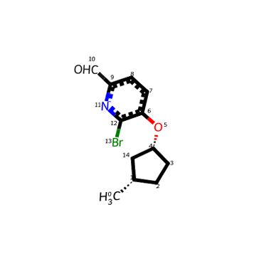 C[C@H]1CC[C@@H](Oc2ccc(C=O)nc2Br)C1